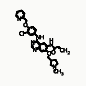 C=CC(=O)Nc1cc2c(Nc3ccc(OCc4ccccn4)c(Cl)c3)ncnc2cc1OCC1CCN(C)C1